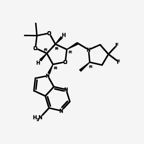 C[C@@H]1CC(F)(F)CN1C[C@H]1O[C@@H](n2ccc3c(N)ncnc32)[C@@H]2OC(C)(C)O[C@@H]21